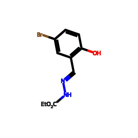 CCOC(=O)N/N=C/c1cc(Br)ccc1O